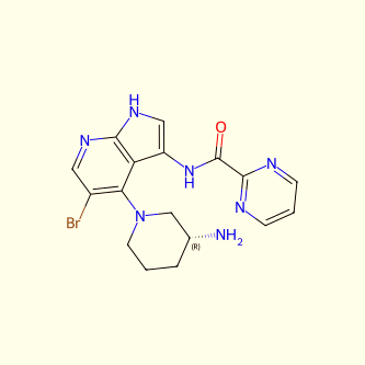 N[C@@H]1CCCN(c2c(Br)cnc3[nH]cc(NC(=O)c4ncccn4)c23)C1